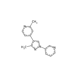 Cc1cc(-c2cn(-c3cccnc3)nc2C)ccn1